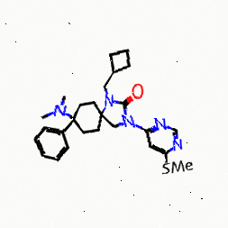 CSc1cc(N2CC3(CCC(c4ccccc4)(N(C)C)CC3)N(CC3CCC3)C2=O)ncn1